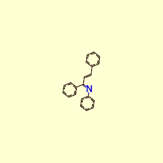 C(=Cc1ccccc1)C(=Nc1ccccc1)c1ccccc1